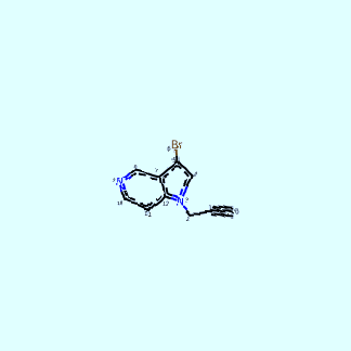 C#CCn1cc(Br)c2cnccc21